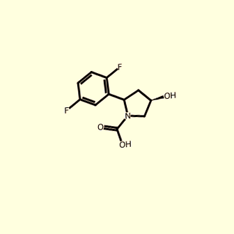 O=C(O)N1C[C@H](O)CC1c1cc(F)ccc1F